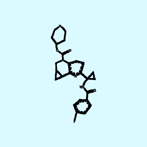 O=C(NC1(c2ccc3c(n2)C2CC2CN3C(=O)OC2CCOCC2)CC1)c1ccc(F)cc1